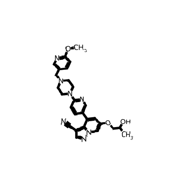 COc1ccc(CN2CCN(c3ccc(-c4cc(OCC(C)O)cn5ncc(C#N)c45)cn3)CC2)cn1